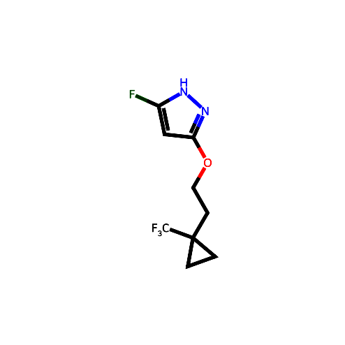 Fc1cc(OCCC2(C(F)(F)F)CC2)n[nH]1